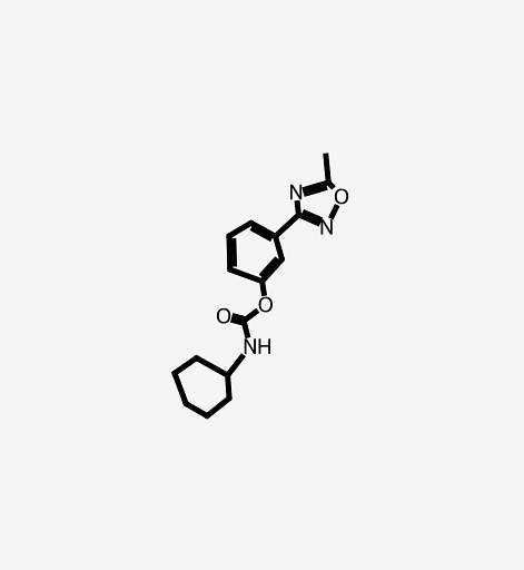 Cc1nc(-c2cccc(OC(=O)NC3CCCCC3)c2)no1